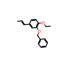 C/C=C/c1ccc(OCC)c(OCc2ccccc2)c1